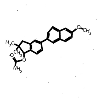 COc1ccc2cc(-c3ccc4c(c3)CC(C)(C)C4OC(N)=O)ccc2c1